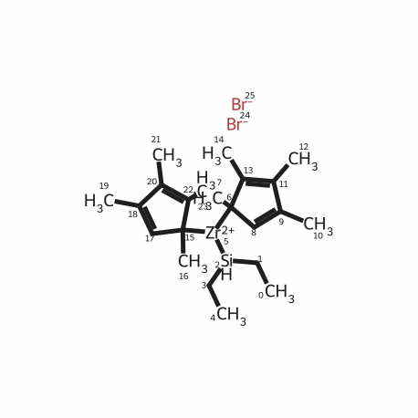 CC[SiH](CC)[Zr+2]([C]1(C)C=C(C)C(C)=C1C)[C]1(C)C=C(C)C(C)=C1C.[Br-].[Br-]